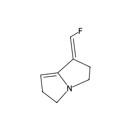 FC=C1CCN2CCC=C12